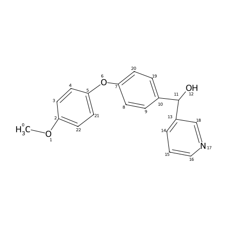 COc1ccc(Oc2ccc(C(O)c3cccnc3)cc2)cc1